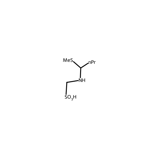 CCCC(NCS(=O)(=O)O)SC